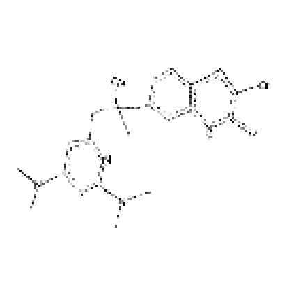 CCc1cc2ccc(C(C)(C#N)Cc3cc(N(C)C)nc(N(C)C)n3)cc2[nH]c1=O